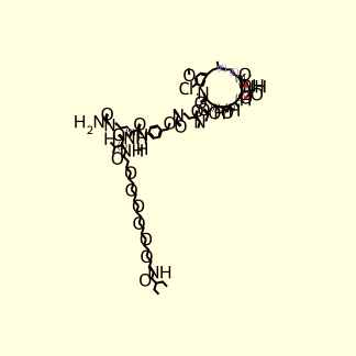 CCC(CC)C(=O)NCCOCCOCCOCCOCCOCCOCCC(=O)N[C@H](C(=O)N[C@@H](CCCNC(N)=O)C(=O)Nc1ccc(COC(=O)N(C)CCC(=O)N(C)CC(=O)O[C@@H]2CC(=O)N(C)c3cc(cc(OC)c3Cl)C/C(C)=C/C=C/[C@@H](OC)[C@@]3(O)C[C@H](OC(=O)N3)C(C)[C@@H]3O[C@@H]23)cc1)C(C)C